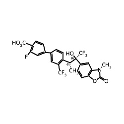 C[C@H](c1ccc(-c2ccc(C(=O)O)c(F)c2)cc1C(F)(F)F)[C@@](O)(c1ccc2oc(=O)n(C)c2c1)C(F)(F)F